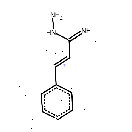 N=C(/C=C/c1ccccc1)NN